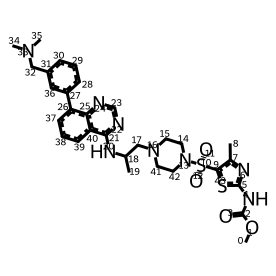 COC(=O)Nc1nc(C)c(S(=O)(=O)N2CCN(CC(C)Nc3ncnc4c(-c5cccc(CN(C)C)c5)cccc34)CC2)s1